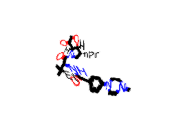 CCC[C@@H]1CN(C(=O)C(NC(=O)c2ccc(N3CCN(C)CC3)cc2)C(C)(C)CC)[C@@H]2C(=O)CO[C@H]12